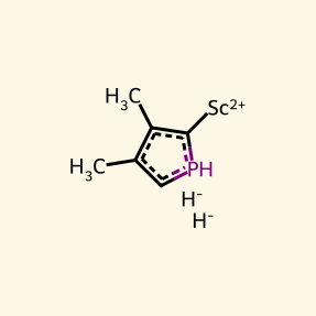 Cc1c[pH][c]([Sc+2])c1C.[H-].[H-]